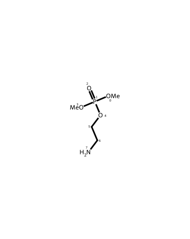 COP(=O)(OC)OCCN